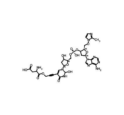 Cc1nccn1OC[C@H]1O[C@@H](n2cnc3c(N)ncnc32)CC1OP(=O)(O)OC[C@H]1O[C@@H](N2C=C(C#CCOC(=O)C(N)CC(=O)O)C(=O)NC2O)CC1O